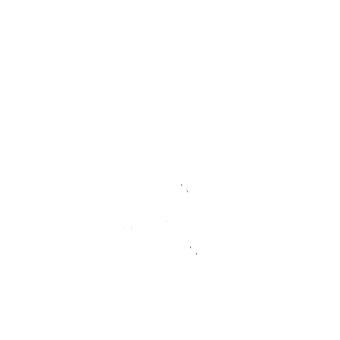 O=C1[N]C=CN1c1ccccc1